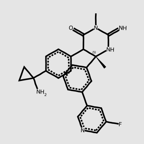 CN1C(=N)N[C@](C)(c2cccc(-c3cncc(F)c3)c2)C(c2ccc(C3(N)CC3)cc2)C1=O